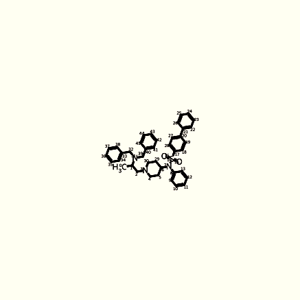 CC(CN1CCC(N(c2ccccc2)S(=O)(=O)c2ccc(-c3ccccc3)cc2)CC1)N(Cc1ccccc1)Cc1ccccc1